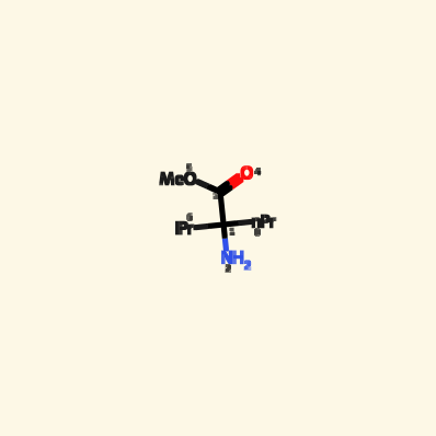 CCCC(N)(C(=O)OC)C(C)C